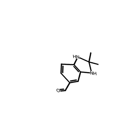 CC1(C)Nc2ccc(C=O)cc2N1